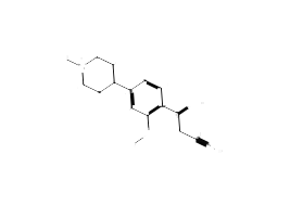 COc1cc(C2CCN(C)CC2)ccc1C(=O)CC#N